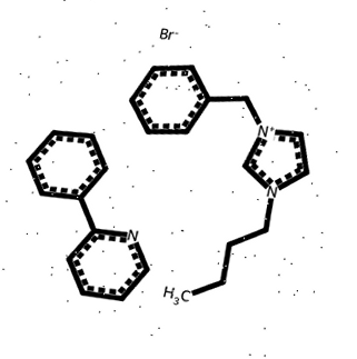 CCCCn1cc[n+](Cc2ccccc2)c1.[Br-].c1ccc(-c2ccccn2)cc1